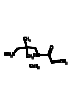 C=CC(=O)NCC(C)(C)CS(=O)(=O)O.[CaH2]